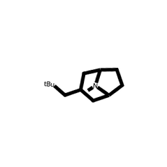 CN1C2CCC1CC(CC(C)(C)C)C2